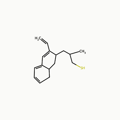 C=CC1=CC2=CC=CCC2CC1CC(C)CS